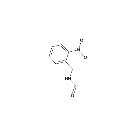 O=[C]NCc1ccccc1[N+](=O)[O-]